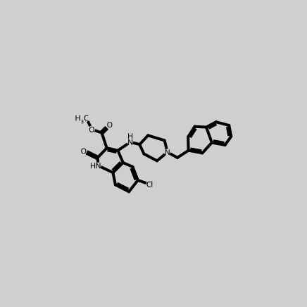 COC(=O)c1c(NC2CCN(Cc3ccc4ccccc4c3)CC2)c2cc(Cl)ccc2[nH]c1=O